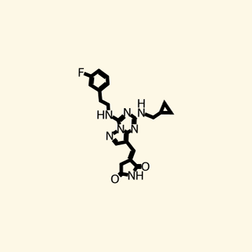 O=C1C/C(=C\c2cnn3c(NCCc4cccc(F)c4)nc(NCC4CC4)nc23)C(=O)N1